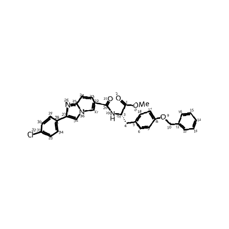 COC(=O)[C@H](Cc1ccc(OCc2ccccc2)cc1)NC(=O)c1ccc2nc(-c3ccc(Cl)cc3)cn2c1